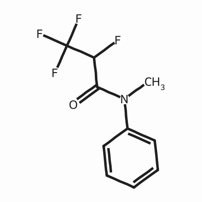 CN(C(=O)C(F)C(F)(F)F)c1ccccc1